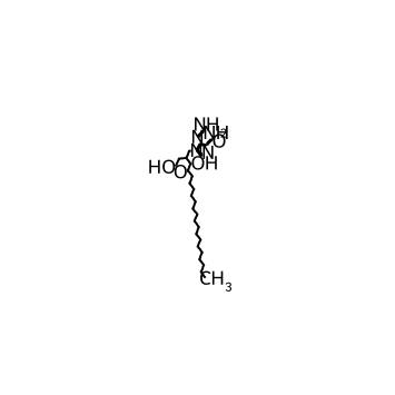 CCCCCCCCCCCCCCCCCC(=O)C(O)C(CCO)Cn1cnc2c(=O)[nH]c(N)nc21